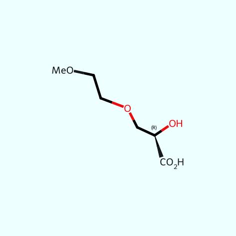 COCCOC[C@@H](O)C(=O)O